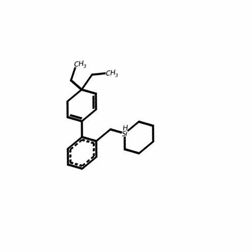 CCC1(CC)C=CC(c2ccccc2C[SiH]2CCCCC2)=CC1